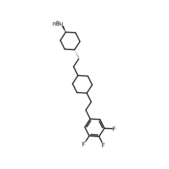 CCCC[C@H]1CC[C@H](CCC2CCC(CCc3cc(F)c(F)c(F)c3)CC2)CC1